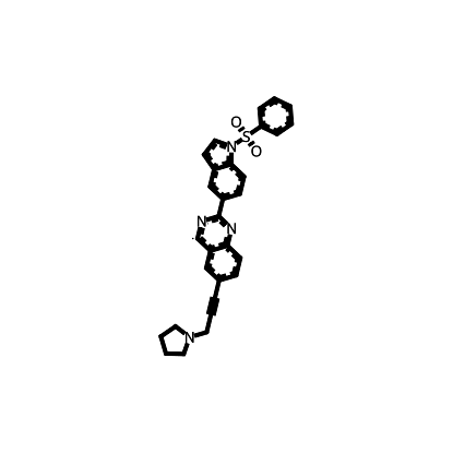 O=S(=O)(c1ccccc1)n1ccc2cc(-c3n[c]c4cc(C#CCN5CCCC5)ccc4n3)ccc21